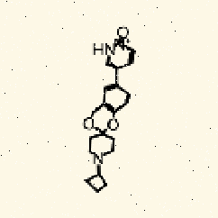 O=[n+]1ccc(-c2ccc3c(c2)COC2(CCN(C4CCC4)CC2)O3)c[nH]1